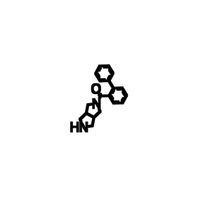 O=C(c1ccccc1-c1ccccc1)N1CC2CNCC2C1